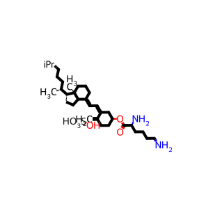 C=C1CC[C@H](OC(=O)[C@@H](N)CCCCN)C/C1=C/C=C1\CCC[C@@]2(C)C1CC[C@@H]2[C@H](C)CCCC(C)C.O=S(=O)(O)O